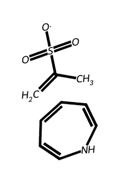 C1=CC=CNC=C1.C=C(C)S([O])(=O)=O